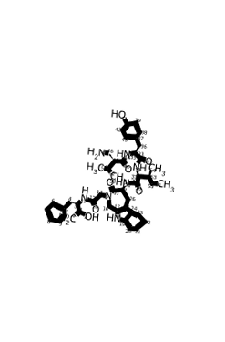 C=C(O)[C@H](Cc1ccccc1)NC(=O)CN1Cc2[nH]c3ccccc3c2C[C@H](NC(=O)[C@@H](NC(=O)[C@H](Cc2ccc(O)cc2)NC(=O)[C@@H](CN)C(C)C)[C@@H](C)CC)C1=O